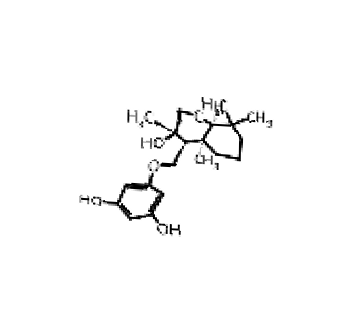 CC1(C)CCC[C@@]2(C)[C@@H](COc3cc(O)cc(O)c3)[C@](C)(O)CC[C@@H]12